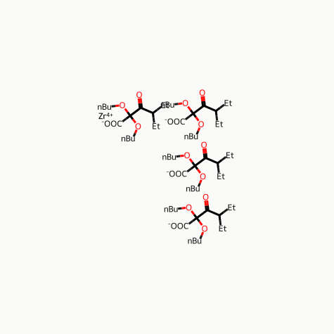 CCCCOC(OCCCC)(C(=O)[O-])C(=O)C(CC)CC.CCCCOC(OCCCC)(C(=O)[O-])C(=O)C(CC)CC.CCCCOC(OCCCC)(C(=O)[O-])C(=O)C(CC)CC.CCCCOC(OCCCC)(C(=O)[O-])C(=O)C(CC)CC.[Zr+4]